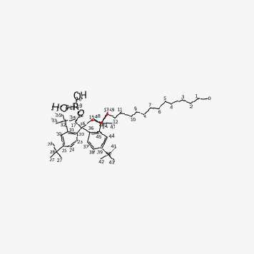 CCCCCCCCCCCCCCCCC(COP(O)O)(c1ccc(C(C)(C)C)cc1C(C)(C)C)c1ccc(C(C)(C)C)cc1C(C)(C)C